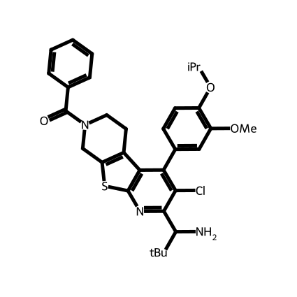 COc1cc(-c2c(Cl)c(C(N)C(C)(C)C)nc3sc4c(c23)CCN(C(=O)c2ccccc2)C4)ccc1OC(C)C